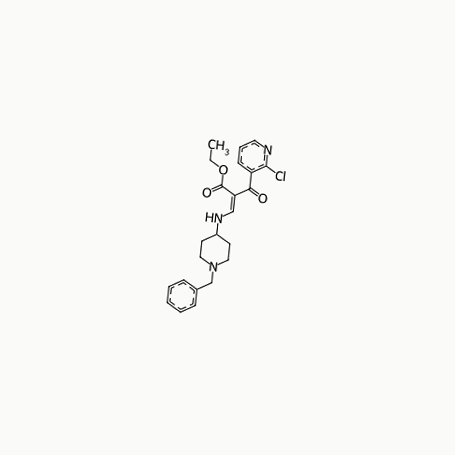 CCOC(=O)C(=CNC1CCN(Cc2ccccc2)CC1)C(=O)c1cccnc1Cl